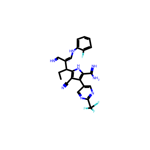 CCC(/C(C=N)=C/Nc1ccccc1F)c1[nH]c(C(=N)N)c(-c2cnc(C(F)(F)F)nc2)c1C#N